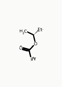 C[CH][C@@H](C)OC(=O)C(C)C